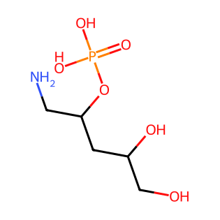 NCC(CC(O)CO)OP(=O)(O)O